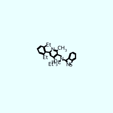 CCOc1cc(-c2c(CC)cccc2CC)nc(C)c1CN(C)c1nsc2ccccc12